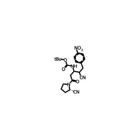 CC(C)(C)OC(=O)NC(CC(=O)N1CCC[C@H]1C#N)C(C#N)Cc1ccc([N+](=O)[O-])cc1